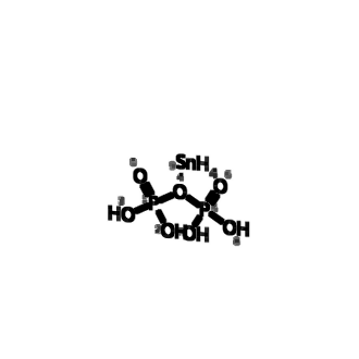 O=P(O)(O)OP(=O)(O)O.[SnH4]